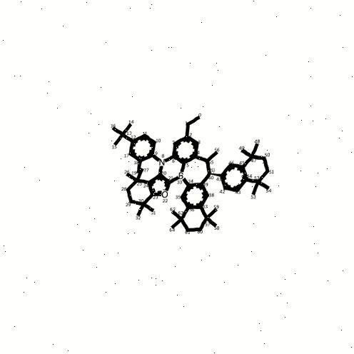 CCc1cc2c3c(c1)N(c1ccc(C(C)(C)C)cc1C)c1c(oc4c1C(C)(C)CCC4(C)C)B3c1cc3c(cc1[C@H](c1ccc4c(c1)C(C)(C)CCC4(C)C)C2C)C(C)(C)CCC3(C)C